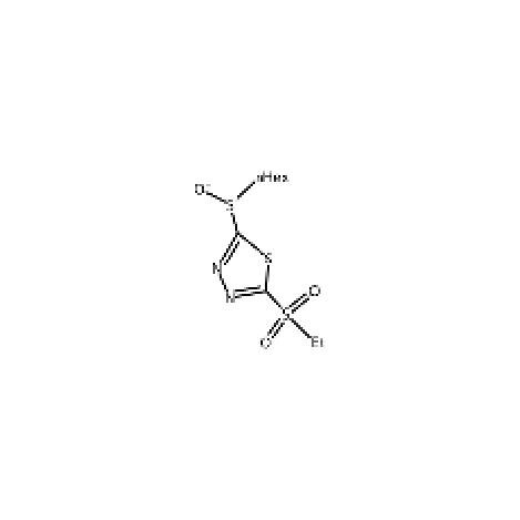 CCCCCC[S+]([O-])c1nnc(S(=O)(=O)CC)s1